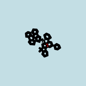 CC1(C)c2ccccc2-c2ccc(N(c3ccc4c(c3)-c3ccccc3C43c4ccccc4-c4ccccc43)c3ccccc3-c3cccc(-c4ccccc4)c3)cc21